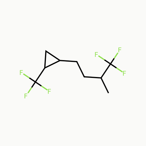 CC(CCC1CC1C(F)(F)F)C(F)(F)F